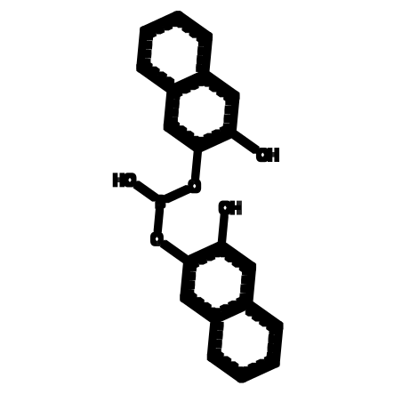 OB(Oc1cc2ccccc2cc1O)Oc1cc2ccccc2cc1O